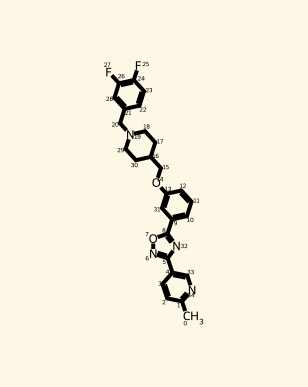 Cc1ccc(-c2noc(-c3cccc(OCC4CCN(Cc5ccc(F)c(F)c5)CC4)c3)n2)cn1